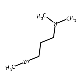 [CH3][Zn][CH2]CCN(C)C